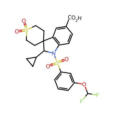 O=C(O)c1ccc2c(c1)C1(CCS(=O)(=O)CC1)C(C1CC1)N2S(=O)(=O)c1cccc(OC(F)F)c1